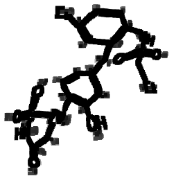 CCc1ccc(NS(=O)(=O)CC)c(Cc2ccc(N3CC(=O)NS3(=O)=O)c(O)c2)c1